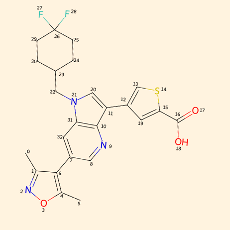 Cc1noc(C)c1-c1cnc2c(-c3csc(C(=O)O)c3)cn(CC3CCC(F)(F)CC3)c2c1